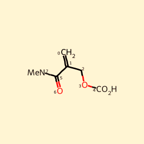 C=C(COC(=O)O)C(=O)NC